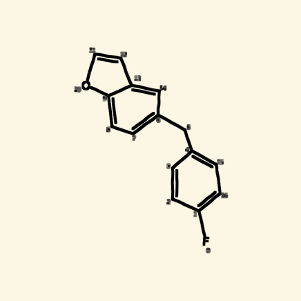 Fc1ccc(Cc2ccc3occc3c2)cc1